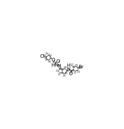 Cc1cc(OCC(=O)N/N=C2\CCc3ccc(NC(=O)C4C=CC(Br)=CC4C)cc32)ccc1Cl